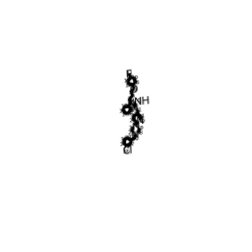 N=c1n(CCCOc2ccc(F)cc2)c2ccccc2n1Cc1ccc(N2CCN(Cc3cccc(Cl)c3)CC2)nc1